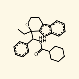 CCC1(C(NC(=O)C2CCCCC2)c2ccccc2)OCCc2c1[nH]c1ccccc21